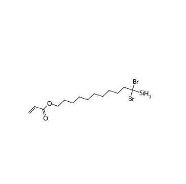 C=CC(=O)OCCCCCCCCCCC([SiH3])(Br)Br